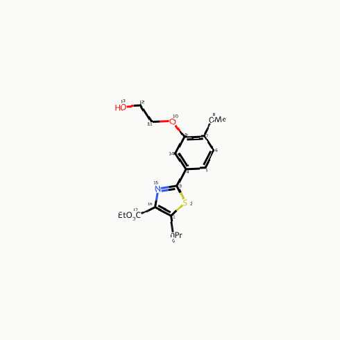 CCCc1sc(-c2ccc(OC)c(OCCO)c2)nc1C(=O)OCC